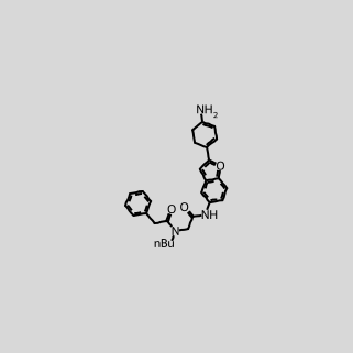 CCCCN(CC(=O)Nc1ccc2oc(C3=CC=C(N)CC3)cc2c1)C(=O)Cc1ccccc1